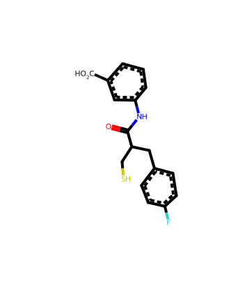 O=C(O)c1cccc(NC(=O)C(CS)Cc2ccc(F)cc2)c1